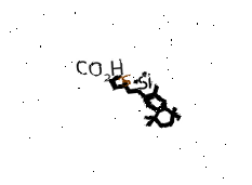 Cc1cc2c(cc1C(=Cc1ccc(C(=O)O)s1)[Si](C)(C)C)C(C)(C)CCC2(C)C